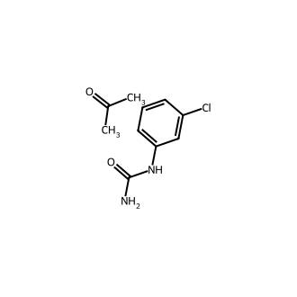 CC(C)=O.NC(=O)Nc1cccc(Cl)c1